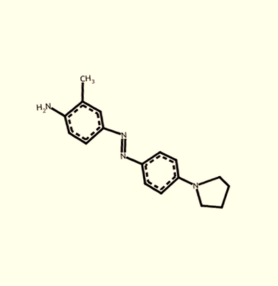 Cc1cc(/N=N/c2ccc(N3CCCC3)cc2)ccc1N